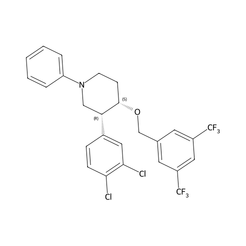 FC(F)(F)c1cc(CO[C@H]2CCN(c3ccccc3)C[C@H]2c2ccc(Cl)c(Cl)c2)cc(C(F)(F)F)c1